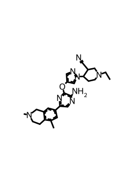 CCN1CCC(n2cc(Oc3nc(-c4cc(C)c5c(c4)CN(C)CC5)cnc3N)cn2)C(C#N)C1